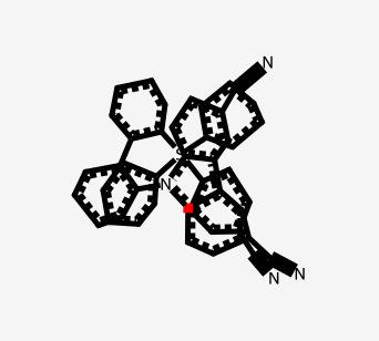 N#Cc1ccc([Si](c2ccccc2)(c2ccccc2)c2ccccc2-c2ccccc2-n2c3ccc(C#N)cc3c3cc(C#N)ccc32)cc1